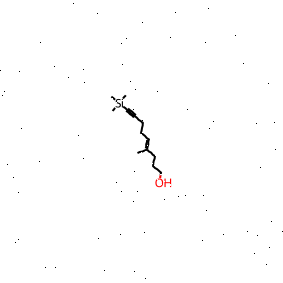 C/C(=C\CCC#C[Si](C)(C)C)CCCO